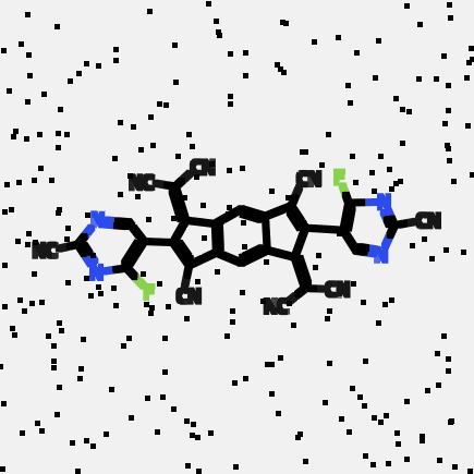 N#CC(C#N)=C1C(c2cnc(C#N)nc2F)=C(C#N)c2cc3c(cc21)C(C#N)=C(c1cnc(C#N)nc1F)C3=C(C#N)C#N